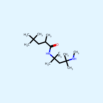 CNC(C)(C)CC(C)(C)NC(=O)C(C)CC(C)(C)C